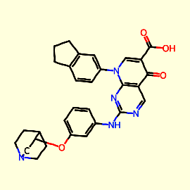 O=C(O)c1cn(-c2ccc3c(c2)CCC3)c2nc(Nc3cccc(OC4CN5CCC4CC5)c3)ncc2c1=O